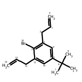 C=CCc1cc(C(C)(C)C)cc(CC=C)c1Br